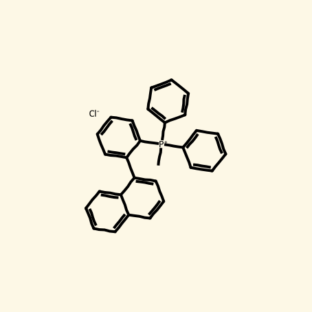 C[P+](c1ccccc1)(c1ccccc1)c1ccccc1-c1cccc2ccccc12.[Cl-]